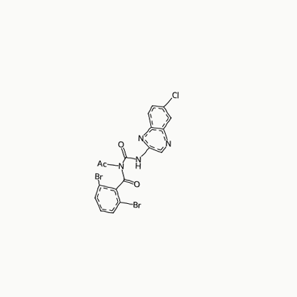 CC(=O)N(C(=O)Nc1cnc2cc(Cl)ccc2n1)C(=O)c1c(Br)cccc1Br